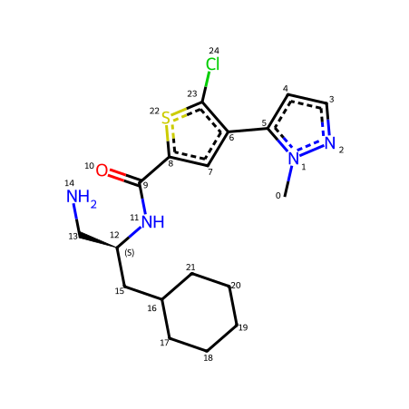 Cn1nccc1-c1cc(C(=O)N[C@H](CN)CC2CCCCC2)sc1Cl